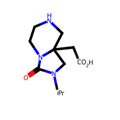 CC(C)N1CC2(CC(=O)O)CNCCN2C1=O